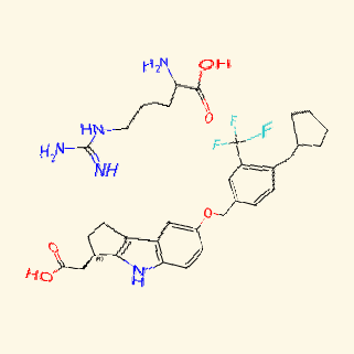 N=C(N)NCCCC(N)C(=O)O.O=C(O)C[C@H]1CCc2c1[nH]c1ccc(OCc3ccc(C4CCCC4)c(C(F)(F)F)c3)cc21